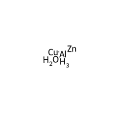 O.[AlH3].[Cu].[Zn]